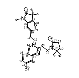 CN1C(=O)C(C)(C)c2ncc(CCN3C=c4ccc(Br)cc4=NC3CCN3C(=O)CCC3(C)C)cc21